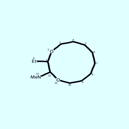 CCC1OCCCCCCCCOC1NC